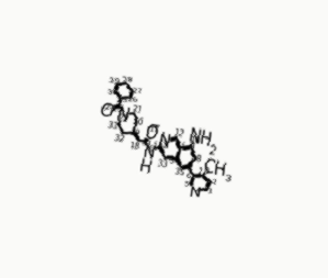 Cc1ccncc1-c1cc(N)c2cnc(NC(=O)C=C3CCN(C(=O)c4ccccc4)CC3)cc2c1